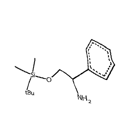 CC(C)(C)[Si](C)(C)OCC(N)c1ccccc1